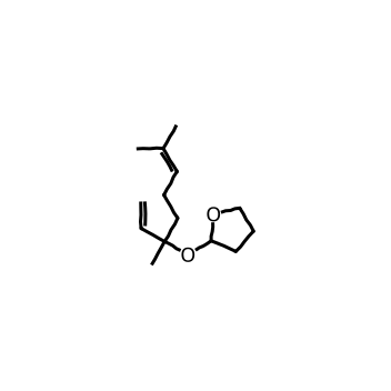 C=CC(C)(CCC=C(C)C)OC1CCCO1